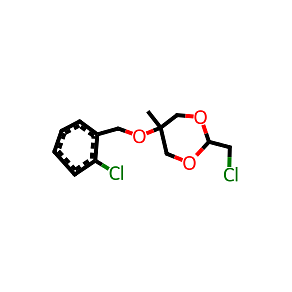 CC1(OCc2ccccc2Cl)COC(CCl)OC1